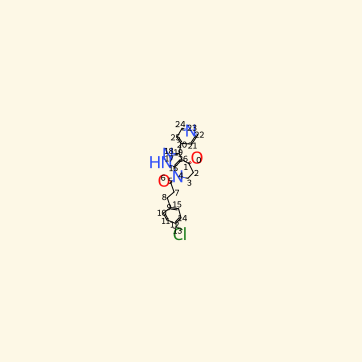 O=C1CCN(C(=O)CCc2ccc(Cl)cc2)c2[nH]nc(-c3ccncc3)c21